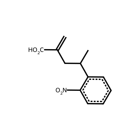 C=C(CC(C)c1ccccc1[N+](=O)[O-])C(=O)O